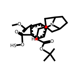 COC(=O)C[C@@H](NC(=O)OC(C)(C)C)C1CC2CCC(C1)N2c1ccc(C(=O)OS)cc1